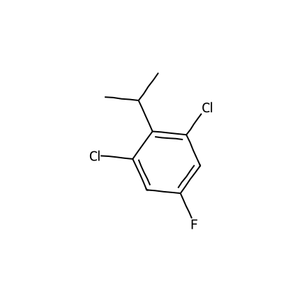 CC(C)c1c(Cl)cc(F)cc1Cl